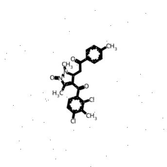 CC1=C(C(=O)c2ccc(Cl)c(C)c2Cl)C(CC(=O)c2ccc(C)cc2)N(C)[N+]1=O